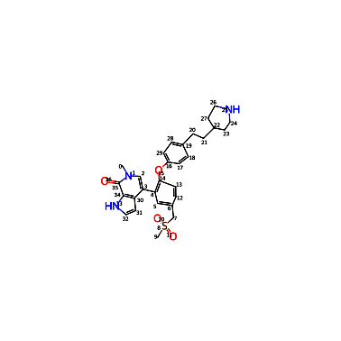 Cn1cc(-c2cc(CS(C)(=O)=O)ccc2Oc2ccc(CCC3CCNCC3)cc2)c2cc[nH]c2c1=O